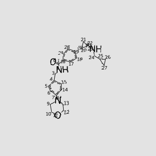 O=C(NCc1ccc(N2CCOCC2)cc1)c1ccc([C@@H]2C[C@H]2NCC2CC2)cc1